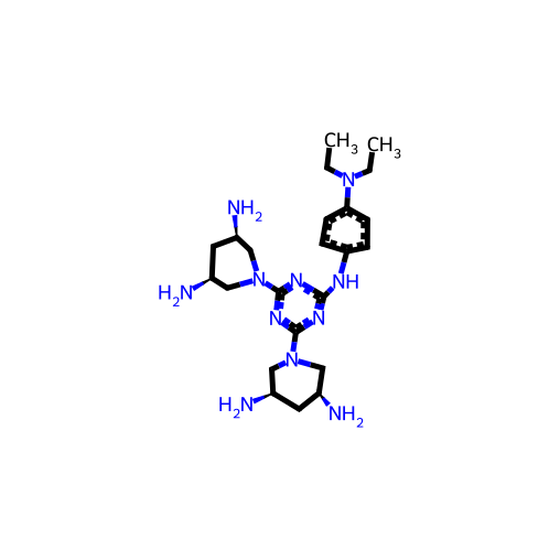 CCN(CC)c1ccc(Nc2nc(N3C[C@H](N)C[C@H](N)C3)nc(N3C[C@H](N)C[C@H](N)C3)n2)cc1